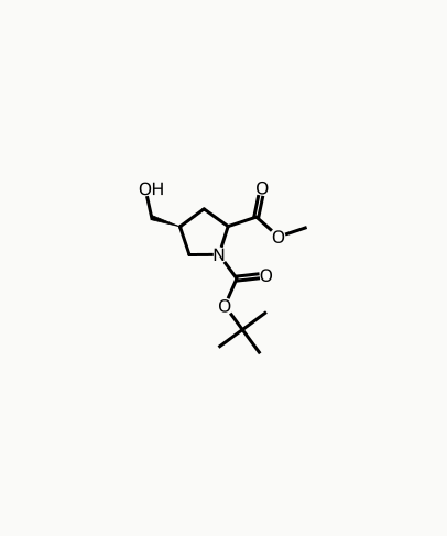 COC(=O)C1C[C@H](CO)CN1C(=O)OC(C)(C)C